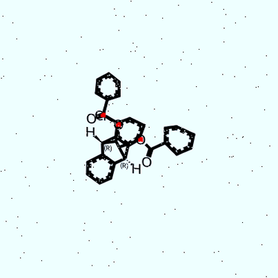 O=C(OC1C(OC(=O)c2ccccc2)[C@@H]2c3ccccc3[C@@H]1c1cccc(Cl)c12)c1ccccc1